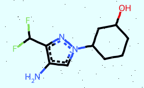 Nc1cn(C2CCCC(O)C2)nc1C(F)F